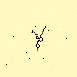 CCCCCCCC1CCCC(=C\c2ccc(F)cc2)/C1=N/OCCN(C)C